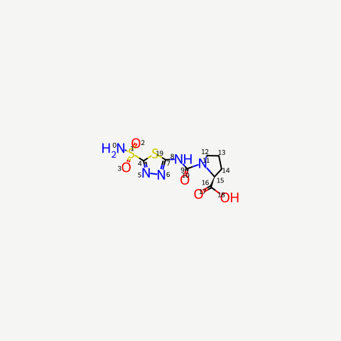 NS(=O)(=O)c1nnc(NC(=O)N2CCC[C@H]2C(=O)O)s1